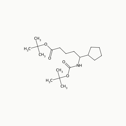 CC(C)(C)OC(=O)CCCC(NC(=O)OC(C)(C)C)C1CCCC1